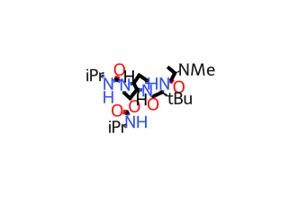 CN[C@@H](C)C(=O)N[C@H](C(=O)N1CC[C@@H]2[C@H]1[C@@H](OC(=O)NC(C)C)CN2C(=O)NC(C)C)C(C)(C)C